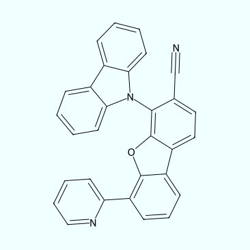 N#Cc1ccc2c(oc3c(-c4ccccn4)cccc32)c1-n1c2ccccc2c2ccccc21